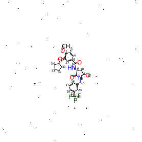 COc1ccc(C(=O)N[C@@H]2CC(=O)N(Cc3cccc(C(F)(F)F)c3)C2=O)cc1OC1CCCC1